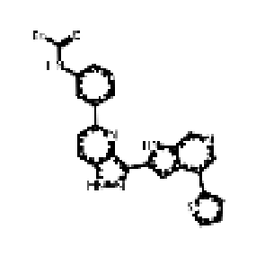 CCC(=O)Nc1cncc(-c2ccc3[nH]nc(-c4cc5c(-c6cccs6)cncc5[nH]4)c3n2)c1